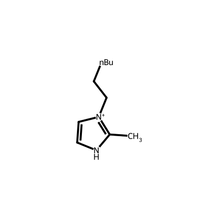 CCCCCC[n+]1cc[nH]c1C